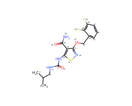 CC(C)CNC(=O)Nc1snc(OCc2cccc(F)c2F)c1C(N)=O